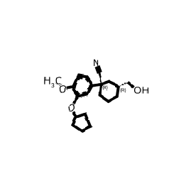 COc1ccc([C@@]2(C#N)CCC[C@@H](CO)C2)cc1OC1CCCC1